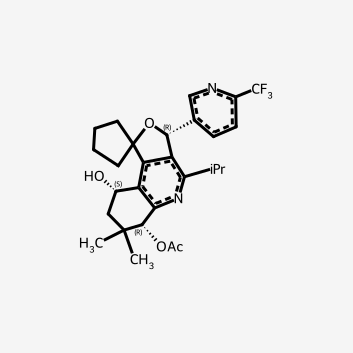 CC(=O)O[C@H]1c2nc(C(C)C)c3c(c2[C@@H](O)CC1(C)C)C1(CCCC1)O[C@@H]3c1ccc(C(F)(F)F)nc1